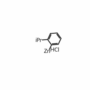 CC(C)c1cccc[c]1[Zn].Cl